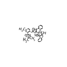 Cc1ccc(C[C@@H](O)C[C@@H](Cc2ccccc2)C(=O)N[C@H]2c3ccccc3C[C@H]2O)c(C2=NC(C)(C)CO2)c1